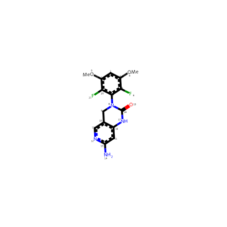 COc1cc(OC)c(F)c(N2Cc3cnc(N)cc3NC2=O)c1F